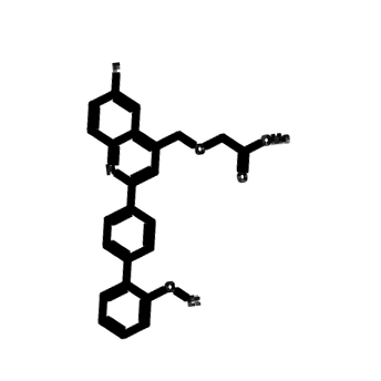 CCOc1ccccc1-c1ccc(-c2cc(COCC(=O)OC)c3cc(F)ccc3n2)cc1